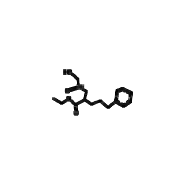 CCOC(=O)C(CCCc1ccccc1)C[PH](=O)CO